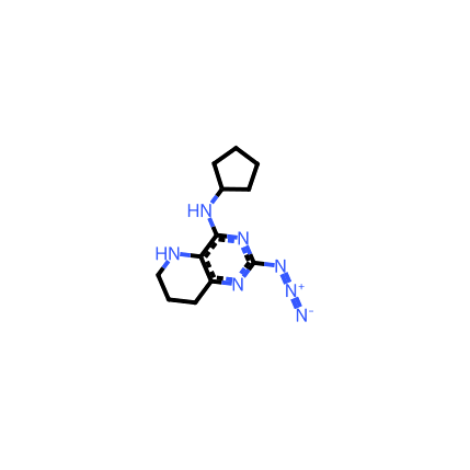 [N-]=[N+]=Nc1nc2c(c(NC3CCCC3)n1)NCCC2